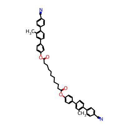 Cc1cc(-c2ccc(OC(=O)CCCCCCCCCC(=O)Oc3ccc(-c4ccc(-c5ccc(C#N)cc5)c(C)c4)cc3)cc2)ccc1-c1ccc(C#N)cc1